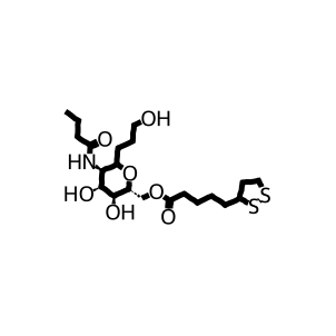 CCCC(=O)N[C@H]1C(CCCO)O[C@H](COC(=O)CCCCC2CCSS2)[C@@H](O)[C@@H]1O